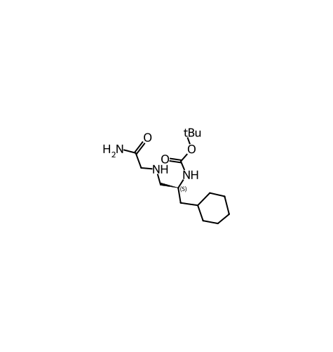 CC(C)(C)OC(=O)N[C@H](CNCC(N)=O)CC1CCCCC1